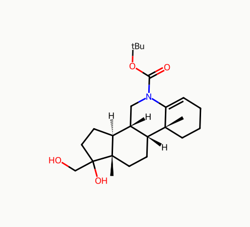 CC(C)(C)OC(=O)N1C[C@@H]2[C@@H](CC[C@@]3(C)[C@H]2CCC3(O)CO)[C@@]2(C)CCCC=C12